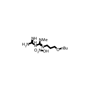 CCCCOCCC/N=C(\NC)NC(=N)N.O=[N+]([O-])O